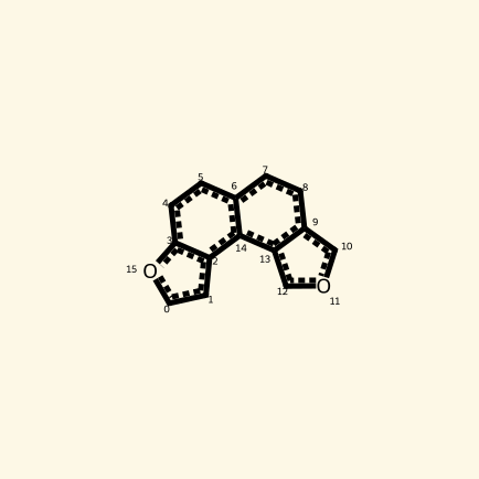 c1cc2c(ccc3ccc4cocc4c32)o1